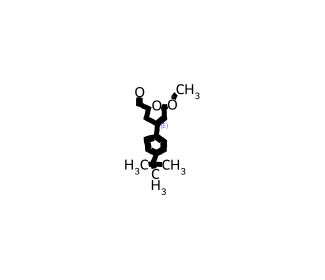 CCOC(=O)/C=C(\CCC=O)c1ccc(C(C)(C)C)cc1